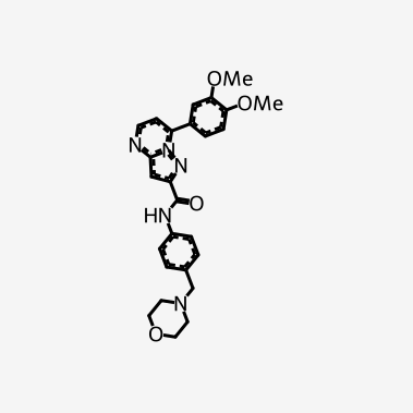 COc1ccc(-c2ccnc3cc(C(=O)Nc4ccc(CN5CCOCC5)cc4)nn23)cc1OC